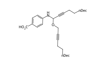 CCCCCCCCCCCCC#CCOC(C#CCCCCCCCCCCCC)Nc1ccc(C(=O)O)cc1